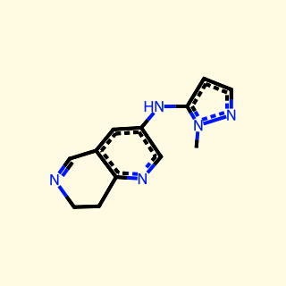 Cn1nccc1Nc1cnc2c(c1)C=NCC2